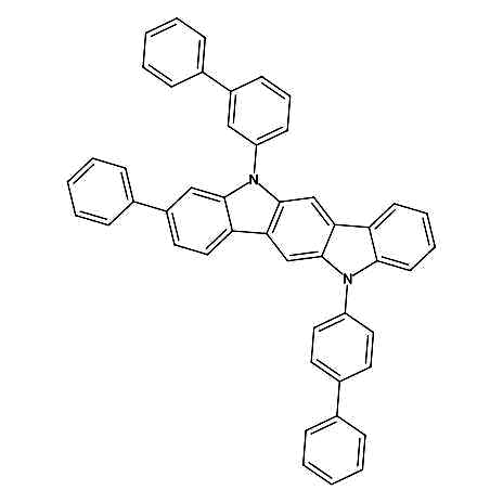 c1ccc(-c2ccc(-n3c4ccccc4c4cc5c(cc43)c3ccc(-c4ccccc4)cc3n5-c3cccc(-c4ccccc4)c3)cc2)cc1